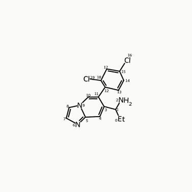 CCC(N)c1cc2nccn2cc1-c1ccc(Cl)cc1Cl